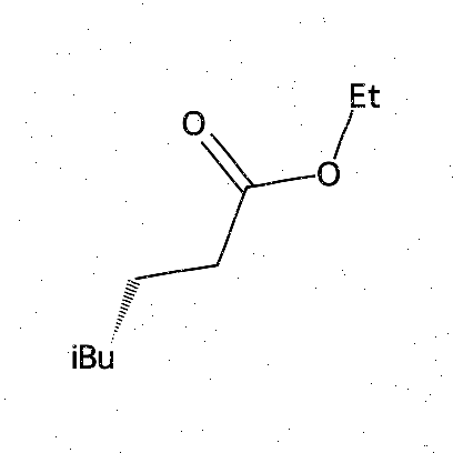 CCOC(=O)CC[C@@H](C)CC